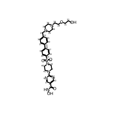 O=C(NO)c1cnc(N2CCN(S(=O)(=O)c3ccc(-c4ccc(CN5CCN(CCOCCO)CC5)cc4)cc3)CC2)nc1